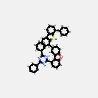 c1ccc(-c2nc(-c3ccccc3)nc(-c3cccc4oc5ccc(-c6cccc7c6sc6c(-c8ccccc8)cccc67)cc5c34)n2)cc1